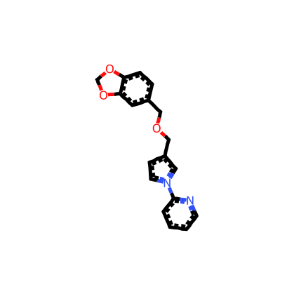 c1ccc(-n2ccc(COCc3ccc4c(c3)OCO4)c2)nc1